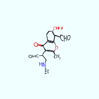 CCNCC(C=O)c1c(C)oc2c(C=O)c(O)ccc2c1=O